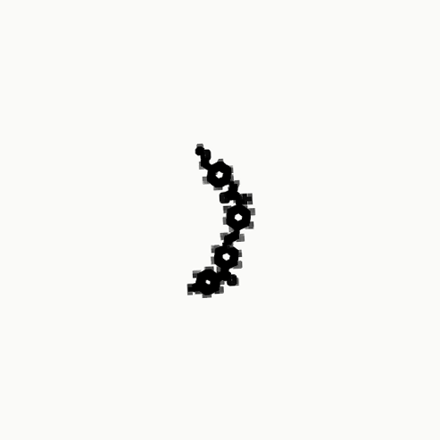 COC[C@H]1CC[C@H](CC(=O)N[C@H]2CC[C@H](CCN3CCC(C(=O)c4ccc(F)cc4)CC3)CC2)CC1